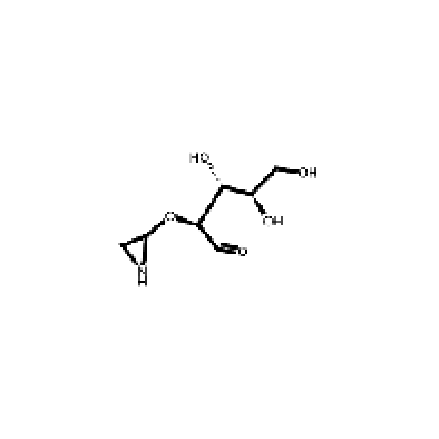 O=C[C@@H](OC1CN1)[C@H](O)[C@H](O)CO